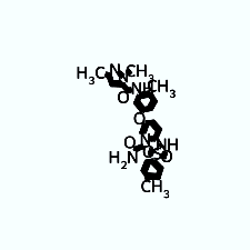 Cc1ccc(S(=O)(=O)NC2C=CC(Oc3ccc(C)c(NC(=O)c4cc(C)nn4C)c3)=CN2CC(N)=O)cc1